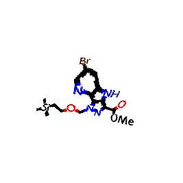 COC(=O)c1nn(COCC[Si](C)(C)C)c2c1[nH]c1cc(Br)cnc12